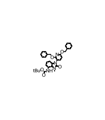 Cn1c(=O)n(-c2ccc(OCc3ccccc3)nc2OCc2ccccc2)c2cccc(NC(=O)OC(C)(C)C)c21